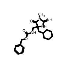 CN1C(=N)NC(CNC(=O)OCc2ccccc2)(CC2CCCCC2)C1=O